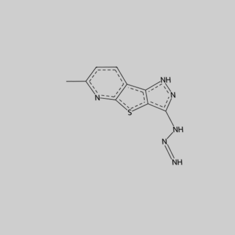 Cc1ccc2c(n1)sc1c(NN=N)n[nH]c12